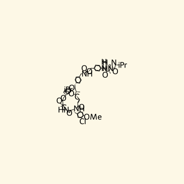 COc1ccc(C[C@H]2NC(=O)/C=C/C[C@@H]([C@H](C)[C@H]3O[C@@H]3c3ccc(CNC(=O)OCc4ccc(NC(=O)[C@H](C)NC(=O)[C@@H](N)C(C)C)cc4)cc3)OC(=O)[C@H](CC(C)C)OC(=O)C(C)(C)CNC2=O)cc1Cl